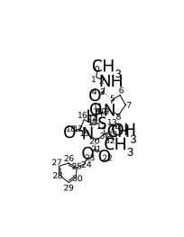 CCNC(=O)[C@@H]1CCCN1C(=O)[S@]1(CO)[C@@H]2CC(=O)N2[C@@H](C(=O)OCc2ccccc2)C1(C)C